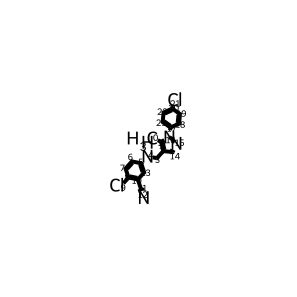 Cc1c(CNc2ccc(Cl)c(C#N)c2)cnn1-c1ccc(Cl)cc1